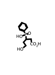 O=C(O)CC(CCO)P(=O)(O)c1ccccc1